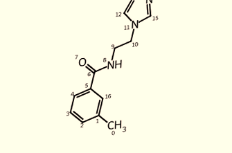 Cc1cccc(C(=O)NCCn2ccnc2)c1